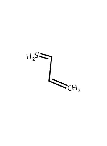 C=CC=[SiH2]